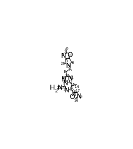 Cc1nc2c(o1)CN(CCc1nc3c(C)c(-c4cnco4)nc(N)n3n1)C2